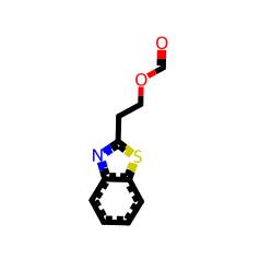 O=COCCc1nc2ccccc2s1